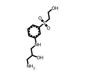 NCC(O)CNc1cccc(S(=O)(=O)CCO)c1